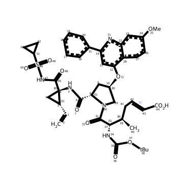 C=C[C@@H]1C[C@]1(NC(=O)[C@@H]1C[C@@H](Oc2cc(-c3ccccc3)nc3cc(OC)ccc23)CN1C(=O)[C@@H](NC(=O)OC(C)(C)C)[C@H](C)C/C=C/C(=O)O)C(=O)NS(=O)(=O)C1CC1